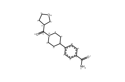 NC(=O)c1ccc(C2CCN(C(=O)C3CCOC3)CC2)cc1